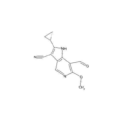 COc1ncc2c(C#N)c(C3CC3)[nH]c2c1C=O